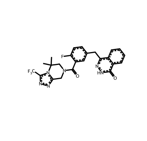 CC1(C)CN(C(=O)c2cc(Cc3n[nH]c(=O)c4ccccc34)ccc2F)Cc2nnc(C(F)(F)F)n21